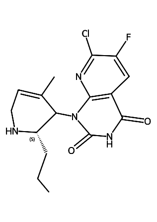 CCC[C@@H]1NCC=C(C)C1n1c(=O)[nH]c(=O)c2cc(F)c(Cl)nc21